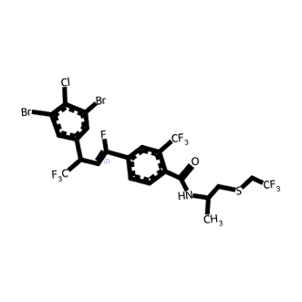 CC(CSCC(F)(F)F)NC(=O)c1ccc(/C(F)=C/C(c2cc(Br)c(Cl)c(Br)c2)C(F)(F)F)cc1C(F)(F)F